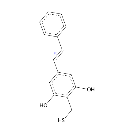 Oc1cc(/C=C/c2ccccc2)cc(O)c1CS